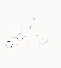 COc1cccc2c1C(=O)c1c(O)c3c(c(O)c1C2=O)C[C@@](O)(/C(CO)=N/NC(=O)C(C)C)C[C@@H]3O[C@@H]1C[C@@H](C)[C@H]2O[C@@H]3[C@@H](OC)OCCN3[C@H]2C1